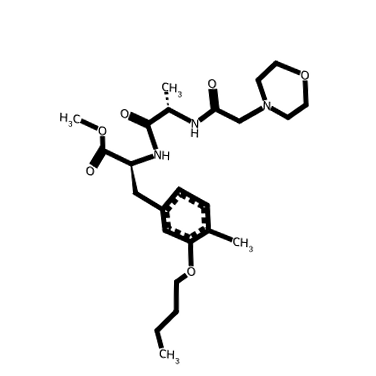 CCCCOc1cc(C[C@H](NC(=O)[C@H](C)NC(=O)CN2CCOCC2)C(=O)OC)ccc1C